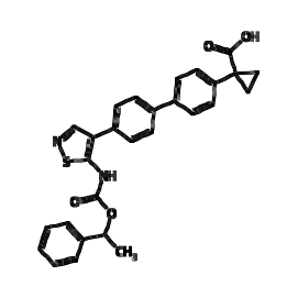 CC(OC(=O)Nc1sncc1-c1ccc(-c2ccc(C3(C(=O)O)CC3)cc2)cc1)c1ccccc1